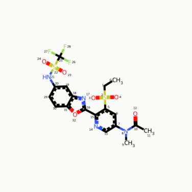 CCS(=O)(=O)c1cc(N(C)C(C)=O)cnc1-c1nc2cc(NS(=O)(=O)C(F)(F)F)ccc2o1